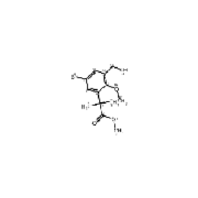 COC(=O)C(C)(C)c1cc(Br)cc(CO)c1OC